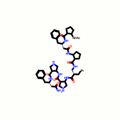 CC(=O)NC1CCCC1C(=O)N[C@H](CC(=O)NC1CCCC1C(=O)NC[C@H](CC(C)C)C(=O)NC1CNCC1C(=O)NC1CNCC1C(=O)N[C@H](CC(N)=O)Cc1ccccc1)Cc1ccccc1